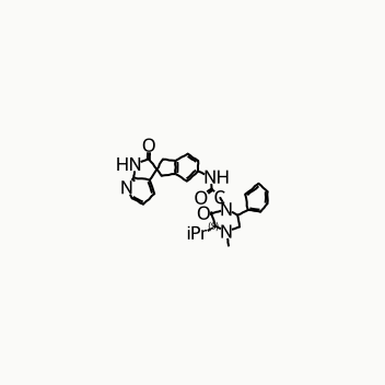 CC(C)[C@H]1C(=O)N(CC(=O)Nc2ccc3c(c2)CC2(C3)C(=O)Nc3ncccc32)C(c2ccccc2)CN1C